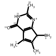 BC1C(C)=C(C)c2c1nc(C)[nH]c2=O